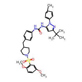 COc1ccc(OC)c(S(=O)(=O)N2CCC(Cc3ccc(NC(=O)Nc4cc(C(C)(C)C)nn4-c4ccc(C)cc4)cc3)CC2)c1